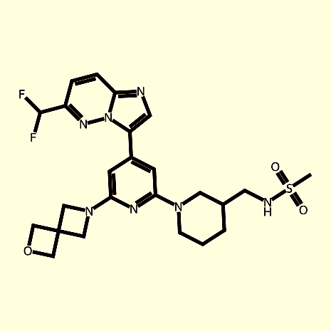 CS(=O)(=O)NCC1CCCN(c2cc(-c3cnc4ccc(C(F)F)nn34)cc(N3CC4(COC4)C3)n2)C1